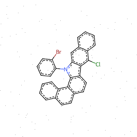 Clc1c2ccccc2cc2c1c1ccc3ccc4ccccc4c3c1n2-c1ccccc1Br